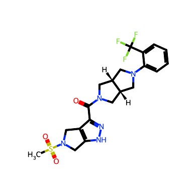 CS(=O)(=O)N1Cc2[nH]nc(C(=O)N3C[C@@H]4CN(c5ccccc5C(F)(F)F)C[C@@H]4C3)c2C1